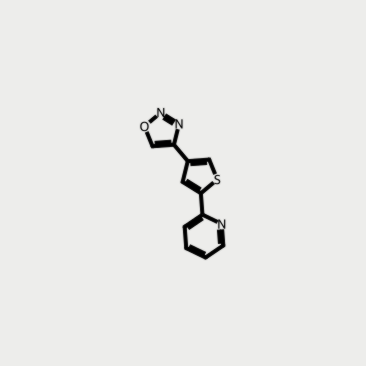 c1ccc(-c2cc(-c3conn3)cs2)nc1